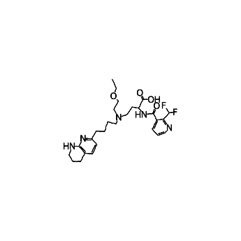 CCOCCN(CCCCc1ccc2c(n1)NCCC2)CCC(NC(=O)c1cccnc1C(F)F)C(=O)O